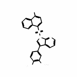 COc1ccc(-c2cn(S(=O)(=O)c3ccc(C)c4ccccc34)c3ncccc23)cc1OC